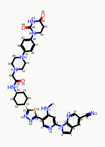 CNc1cc(-n2ccc3cc(C#N)cnc32)ncc1-c1nnc([C@H]2CC[C@H](NC(=O)CN3CCN(c4ccc(N5CCC(=O)NC5=O)cc4)CC3)CC2)s1